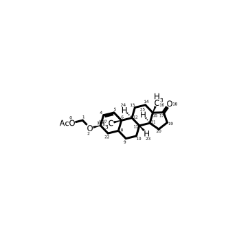 CC(=O)OCO[C@H]1C=C[C@@]2(C)C(CC[C@@H]3[C@@H]2CC[C@]2(C)C(=O)CC[C@@H]32)C1